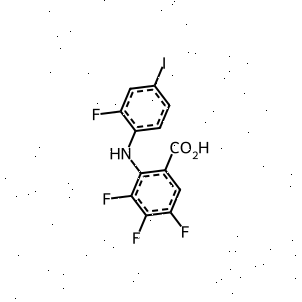 O=C(O)c1cc(F)c(F)c(F)c1Nc1ccc(I)cc1F